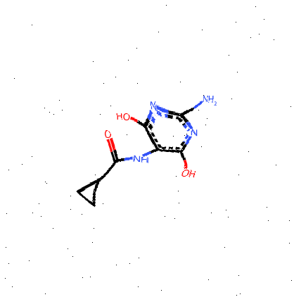 Nc1nc(O)c(NC(=O)C2CC2)c(O)n1